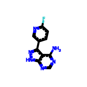 Nc1ncnc2[nH]nc(-c3ccc(F)nc3)c12